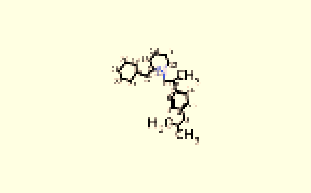 CC(C)Cc1ccc(C(C)CN2CCCCC2CC2CCCCC2)cc1